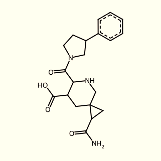 NC(=O)C1CC12CNC(C(=O)N1CCC(c3ccccc3)C1)C(C(=O)O)C2